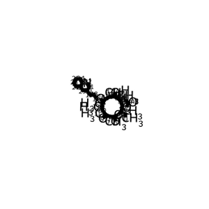 CC[C@H]1OC(=O)[C@H](C)C(=O)[C@H](C)[C@@H](C)[C@](C)(OC/C=C/c2cnc3ccccc3c2)C[C@@H](C)C(=O)[C@H](C)[C@H]2NC(=O)O[C@@]21C